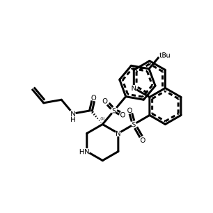 C=CCNC(=O)[C@@]1(S(=O)(=O)c2ccc(C(C)(C)C)cc2)CNCCN1S(=O)(=O)c1cccc2cccnc12